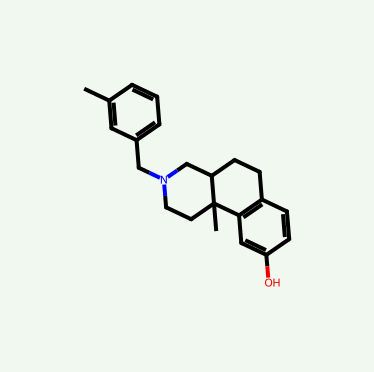 Cc1cccc(CN2CCC3(C)c4cc(O)ccc4CCC3C2)c1